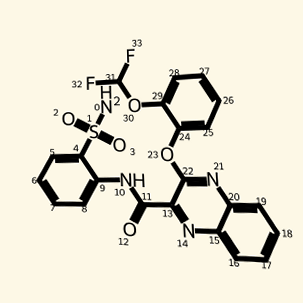 NS(=O)(=O)c1ccccc1NC(=O)c1nc2ccccc2nc1Oc1ccccc1OC(F)F